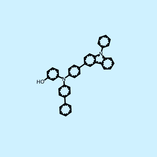 Oc1cccc(N(c2ccc(-c3ccccc3)cc2)c2ccc(-c3ccc4c(c3)c3ccccc3n4-c3ccccc3)cc2)c1